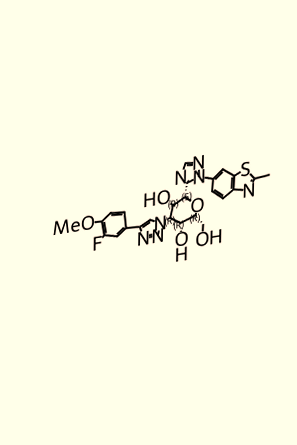 COc1ccc(-c2cn([C@H]3[C@@H](O)[C@@H](CO)O[C@@H](c4ncnn4-c4ccc5nc(C)sc5c4)[C@@H]3O)nn2)cc1F